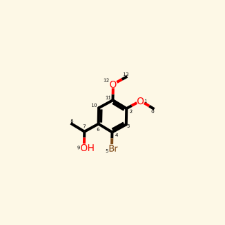 COc1cc(Br)c(C(C)O)cc1OC